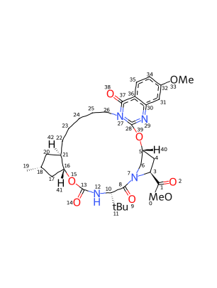 COC(=O)[C@@H]1C[C@@H]2CN1C(=O)[C@H](C(C)(C)C)NC(=O)O[C@@H]1C[C@H](C)C[C@H]1CCCCCn1c(nc3cc(OC)ccc3c1=O)O2